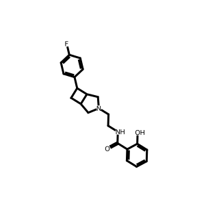 O=C(NCCN1CC2CC(c3ccc(F)cc3)C2C1)c1ccccc1O